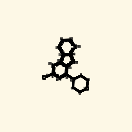 Clc1nc(N2CCOCC2)c2sc3ncccc3c2n1